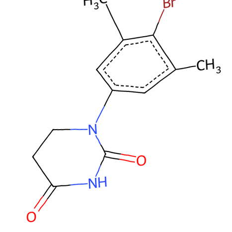 Cc1cc(N2CCC(=O)NC2=O)cc(C)c1Br